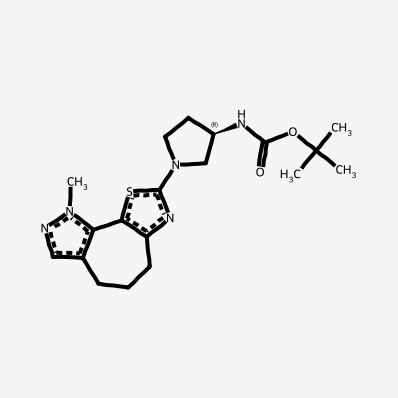 Cn1ncc2c1-c1sc(N3CC[C@@H](NC(=O)OC(C)(C)C)C3)nc1CCC2